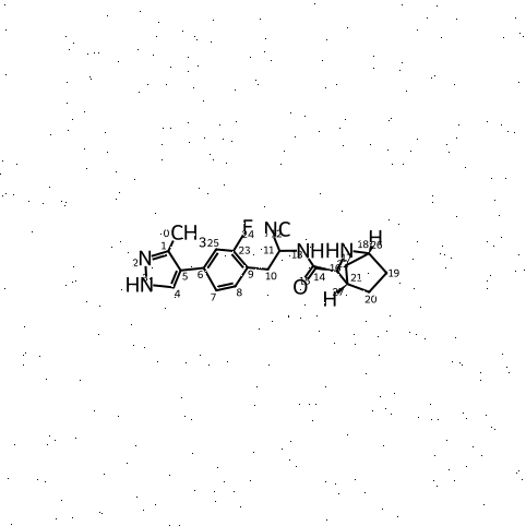 Cc1n[nH]cc1-c1ccc(CC(C#N)NC(=O)[C@H]2N[C@@H]3CC[C@H]2C3)c(F)c1